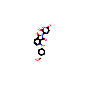 O=C1CCC(N2C(=O)c3cccc(N[C@H]4CC[C@@H](CO)CC4)c3C2=O)C(=O)N1